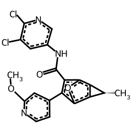 COc1cc(-c2c(C(=O)Nc3cnc(Cl)c(Cl)c3)c3oc2c2c3[C@@H]2C)ccn1